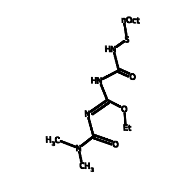 CCCCCCCCSNC(=O)NC(=NC(=O)N(C)C)OCC